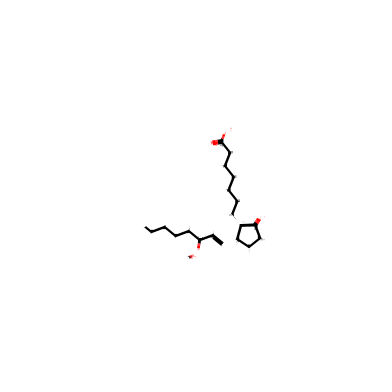 CCCCCC(C=C[C@H]1CCC(=O)[C@@H]1CCCCCCC(=O)O)OC